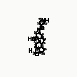 C[C@]12CCC3C(CCC4=CC(=NOC5CCNC5)CC[C@@]43CO)C1CCC2=O